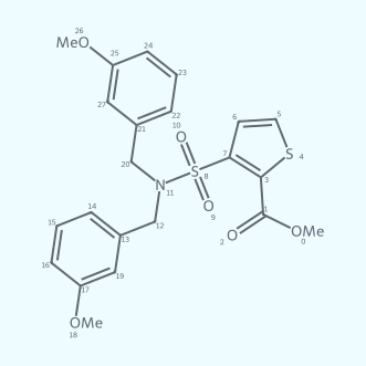 COC(=O)c1sccc1S(=O)(=O)N(Cc1cccc(OC)c1)Cc1cccc(OC)c1